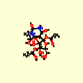 CC(=O)O[C@@]1(c2c[nH]c(=O)[nH]c2=O)O[C@H](CO)[C@](O)(OC(C)=O)[C@]1(O)OC(C)=O